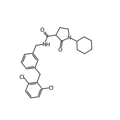 O=C(NCc1cccc(Cc2c(Cl)cccc2Cl)c1)C1CCN(C2CCCCC2)C1=O